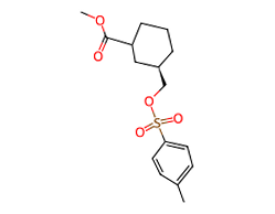 COC(=O)C1CCC[C@@H](COS(=O)(=O)c2ccc(C)cc2)C1